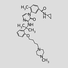 Cc1ccc(C(=O)NC2CC2)cc1-n1ccnc(NC(C)(C)c2ccccc2OCCCCN2CCN(C)CC2)c1=O